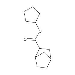 O=C(OC1CCCC1)C1CC2CCC1C2